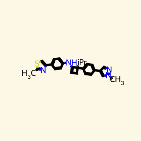 Cc1nc(-c2ccc(NC3=CCC3(c3ccc(-c4cnn(C)c4)cc3)C(C)C)cc2)cs1